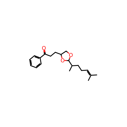 CC(C)=CCCC(C)C1OCC(CCC(=O)c2ccccc2)O1